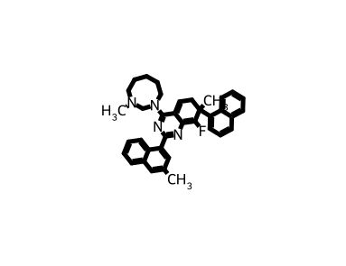 Cc1cc(-c2nc(N3CCCCCN(C)C3)c3c(n2)=C(F)C(C)(c2cccc4ccccc24)CC=3)c2ccccc2c1